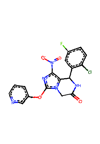 O=C1Cn2c(Oc3cccnc3)nc([N+](=O)[O-])c2C(c2cc(F)ccc2Cl)N1